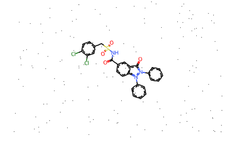 O=C(NS(=O)(=O)Cc1ccc(Cl)c(Cl)c1)c1ccc2c(c1)c(=O)n(-c1ccccc1)n2-c1ccccc1